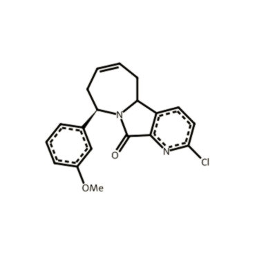 COc1cccc([C@H]2CC=CCC3c4ccc(Cl)nc4C(=O)N32)c1